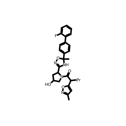 Cc1cc(C(C(=O)N2CC(O)CC2C2=NOC(C)(c3ccc(-c4ccccc4F)cc3)N2)C(C)C)on1